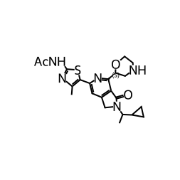 CC(=O)Nc1nc(C)c(-c2cc3c(c([C@@H]4CNCCO4)n2)C(=O)N(C(C)C2CC2)C3)s1